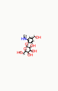 CCNc1cc(CO)ccc1OC1OC(CO)C(O)C(O)C1O